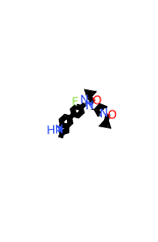 Cc1cc2cc(-c3ccc(C4=NC5(CC5)C(=O)N4C[C@@H]4CCN(C(=O)C5CC5)C4)c(F)c3)ccc2[nH]1